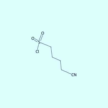 N#CCCCCS(=O)(=O)Cl